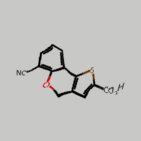 N#Cc1cccc2c1OCc1cc(C(=O)O)sc1-2